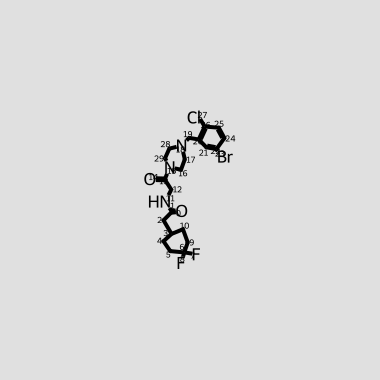 O=C(CC1CCC(F)(F)CC1)NCC(=O)N1CCN(Cc2cc(Br)ccc2Cl)CC1